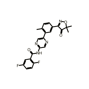 Cc1ccc(C2=NOC(C)(C)C2=O)cc1-c1cnc(NC(=O)c2cc(F)ccc2F)cn1